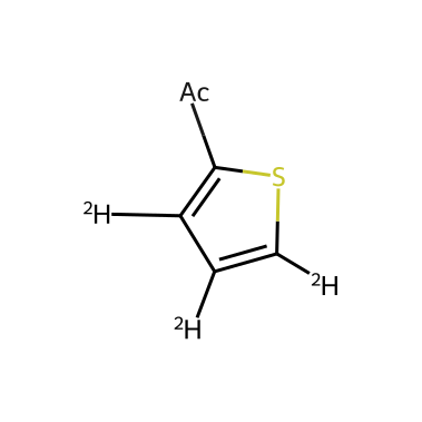 [2H]c1sc(C(C)=O)c([2H])c1[2H]